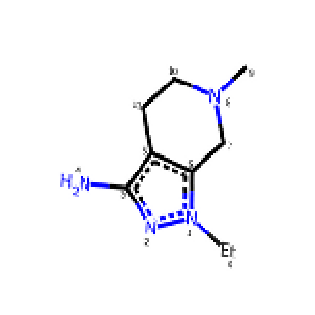 CCn1nc(N)c2c1CN(C)CC2